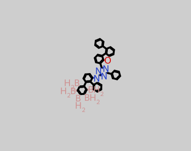 Bc1c(B)c(B)c(-c2cccc3c2c2ccccc2n3-c2nc(-c3ccccc3)nc(-c3cccc4c3oc3cccc(-c5ccccc5)c34)n2)c(B)c1B